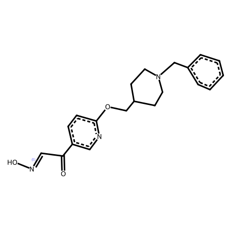 O=C(/C=N/O)c1ccc(OCC2CCN(Cc3ccccc3)CC2)nc1